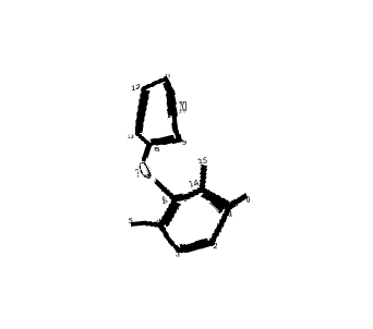 Cc1ccc(C)c(Oc2ccccc2)c1C